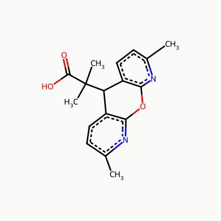 Cc1ccc2c(n1)Oc1nc(C)ccc1C2C(C)(C)C(=O)O